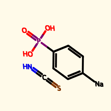 N=C=S.O=P(O)(O)c1cc[c]([Na])cc1